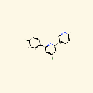 Clc1ccc(-c2cc(Cl)cc(-c3cccnc3)n2)cc1